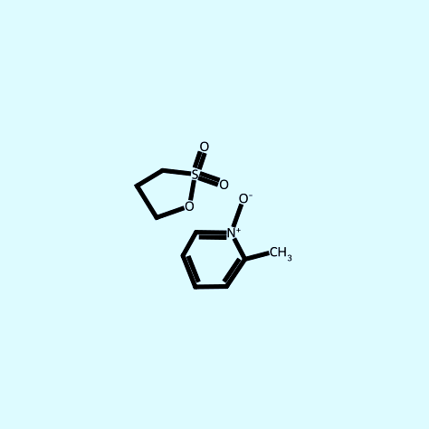 Cc1cccc[n+]1[O-].O=S1(=O)CCCO1